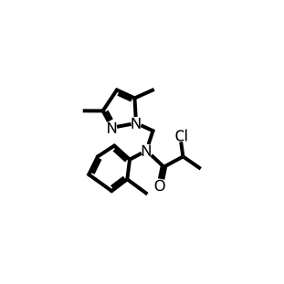 Cc1cc(C)n(CN(C(=O)C(C)Cl)c2ccccc2C)n1